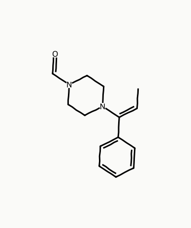 CC=C(c1ccccc1)N1CCN(C=O)CC1